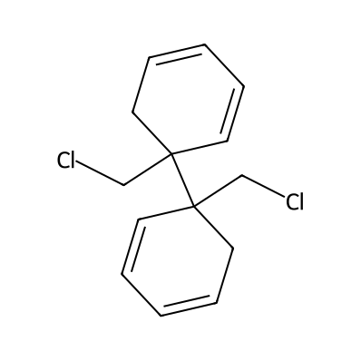 ClCC1(C2(CCl)C=CC=CC2)C=CC=CC1